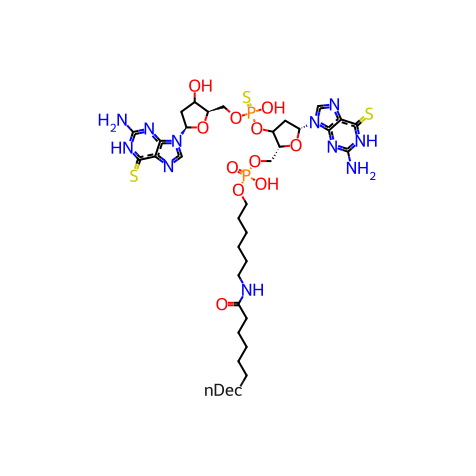 CCCCCCCCCCCCCCCC(=O)NCCCCCCOP(=O)(O)OC[C@H]1O[C@@H](n2cnc3c(=S)[nH]c(N)nc32)CC1OP(O)(=S)OC[C@H]1O[C@@H](n2cnc3c(=S)[nH]c(N)nc32)CC1O